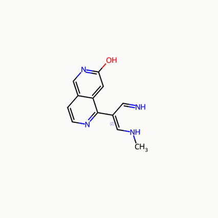 CN/C=C(\C=N)c1nccc2cnc(O)cc12